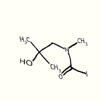 CN(CC(C)(C)O)C(=O)I